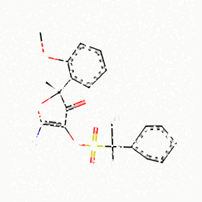 BC(B)(c1ccccc1)S(=O)(=O)OC1=C(N)O[C@](B)(c2ccccc2OC)C1=O